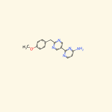 COc1ccc(Cc2ncc(-c3nccc(N)n3)cn2)cc1